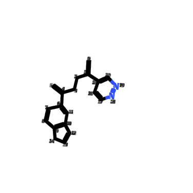 C=C(CCC(=C)c1ccc2c(c1)C=CC2)c1ccnnc1